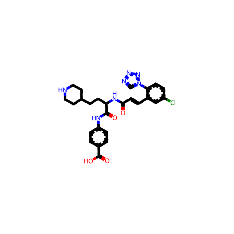 O=C(C=Cc1cc(Cl)ccc1-n1cnnn1)NC(CCC1CCNCC1)C(=O)Nc1ccc(C(=O)O)cc1